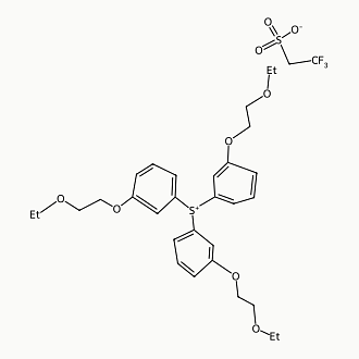 CCOCCOc1cccc([S+](c2cccc(OCCOCC)c2)c2cccc(OCCOCC)c2)c1.O=S(=O)([O-])CC(F)(F)F